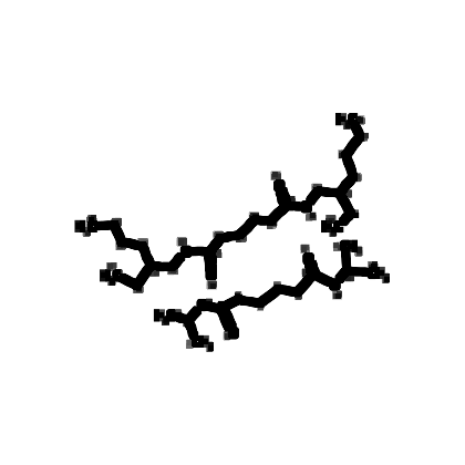 CC(C)OC(=O)CCCCC(=O)OC(C)C.CCCCC(CC)COC(=O)CCCCC(=O)OCC(CC)CCCC